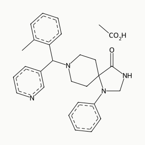 CC(=O)O.Cc1ccccc1C(c1cccnc1)N1CCC2(CC1)C(=O)NCN2c1ccccc1